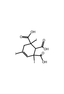 O=C(O)C1C(I)(C(=O)O)C=C(I)CC1(I)C(=O)O